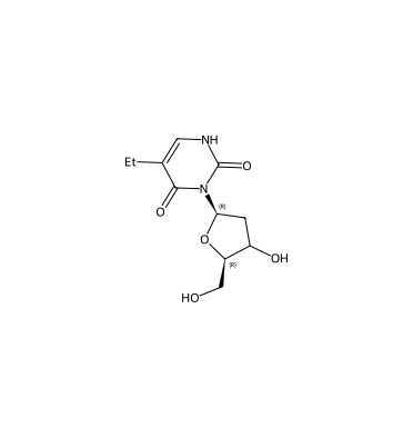 CCc1c[nH]c(=O)n([C@H]2CC(O)[C@@H](CO)O2)c1=O